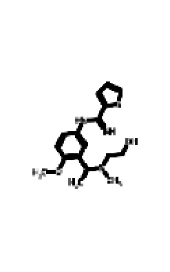 COc1ccc(NC(=N)c2cccs2)cc1C(C)N(C)CCO